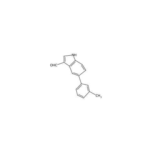 Cc1cccc(-c2ccc3[nH]cc(C=O)c3c2)c1